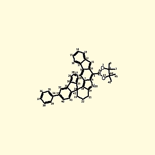 CC1(C)OB(c2c3c(cc4c2=Cc2ccccc2-4)=C2C(=N3)CCCC23c2ccccc2-c2cc(-c4ccccc4)ccc23)OC1(C)C